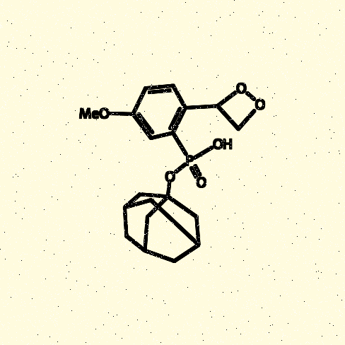 COc1ccc(C2COO2)c(P(=O)(O)OC23CC4CC(CC(C4)C2)C3)c1